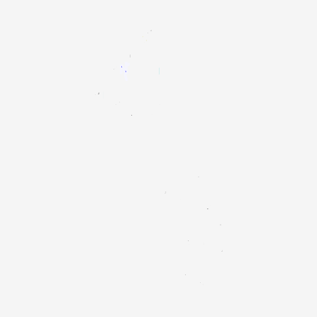 Fc1cc(C#Cc2ccc(C3CCC(CC4CC4)CC3)cc2)cc(F)c1N=C=S